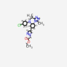 CCOC(=O)Cn1cc(-c2ccc3c(c2)N(c2ccc(Cl)cc2)C[C@@H](C)c2nnc(C)n2-3)cn1